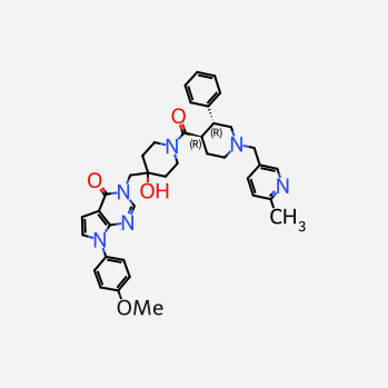 COc1ccc(-n2ccc3c(=O)n(CC4(O)CCN(C(=O)[C@@H]5CCN(Cc6ccc(C)nc6)C[C@H]5c5ccccc5)CC4)cnc32)cc1